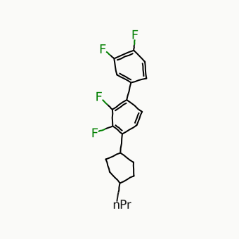 CCCC1CCC(c2ccc(-c3ccc(F)c(F)c3)c(F)c2F)CC1